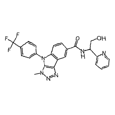 Cn1nnc2c3cc(C(=O)NC(CO)c4ccccn4)ccc3n(-c3ccc(C(F)(F)F)cc3)c21